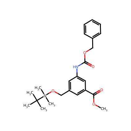 COC(=O)c1cc(CO[Si](C)(C)C(C)(C)C)cc(NC(=O)OCc2ccccc2)c1